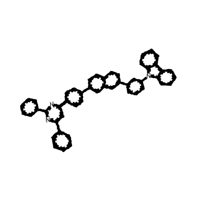 c1ccc(-c2cc(-c3ccc(-c4ccc5ccc(-c6cccc(-n7c8ccccc8c8ccccc87)c6)cc5c4)cc3)nc(-c3ccccc3)n2)cc1